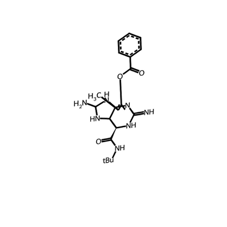 CC1=C(OC(=O)c2ccccc2)CN2C(=N)N[C@@H](C(=O)NC(C)(C)C)C3NC(N)NC132